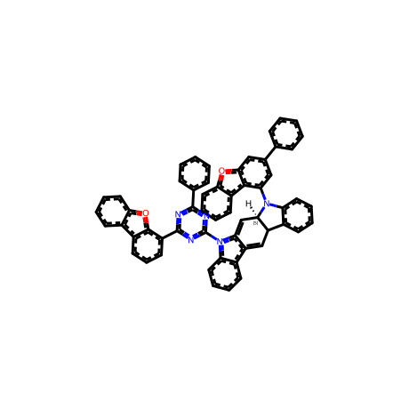 C1=c2c(n(-c3nc(-c4ccccc4)nc(-c4cccc5c4oc4ccccc45)n3)c3ccccc23)=C[C@@H]2C1c1ccccc1N2c1cc(-c2ccccc2)cc2oc3ccccc3c12